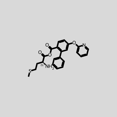 CSCC[C@H](N)C(=O)OC(=O)c1ccc(Oc2ccccn2)cc1-c1ccccc1